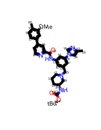 COc1cc(-c2ccnc(C(=O)Nc3cc(CN4CCC[C@H](NC(=O)OC(C)(C)C)C4)cc(-n4cnc(C)c4)c3)c2)ccc1C